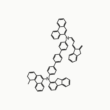 C=C1Cc2ccccc2/C1=C/C=C\N(c1ccc(-c2ccc(-c3ccc(N(c4cccc5c4Cc4ccccc4-5)c4cc5c(c6ccccc46)C(C)CC=C5)cc3)cc2)cc1)c1cc2ccccc2c2ccccc12